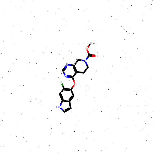 CC(C)(C)OC(=O)N1CCc2c(ncnc2Oc2cc3cc[nH]c3cc2F)C1